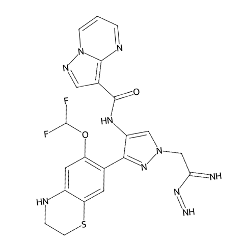 N=NC(=N)Cn1cc(NC(=O)c2cnn3cccnc23)c(-c2cc3c(cc2OC(F)F)NCCS3)n1